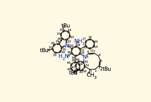 CC1C/C(C(C)(C)C)=C\CC=CN(c2c(-c3ccccc3)c(N)c(-n3c4ccc(C(C)(C)C)cc4c4cc(C(C)(C)C)ccc43)c(N)c2-c2ccccc2)c2ccc(C(C)(C)C)cc21